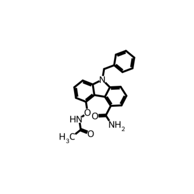 CC(=O)NOc1cccc2c1c1c(C(N)=O)cccc1n2Cc1ccccc1